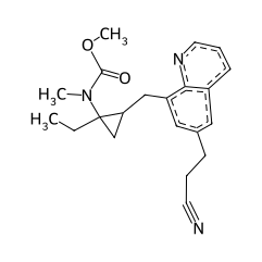 CCC1(N(C)C(=O)OC)CC1Cc1cc(CCC#N)cc2cccnc12